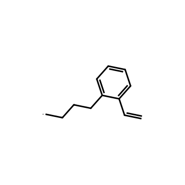 [CH2]CCCc1ccccc1C=C